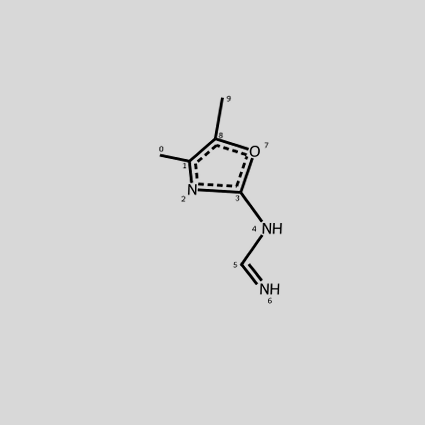 Cc1nc(NC=N)oc1C